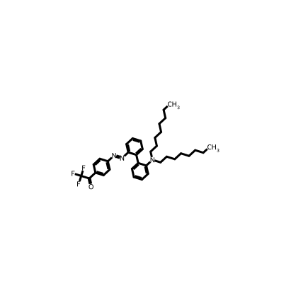 CCCCCCCCN(CCCCCCCC)c1ccccc1-c1ccccc1N=Nc1ccc(C(=O)C(F)(F)F)cc1